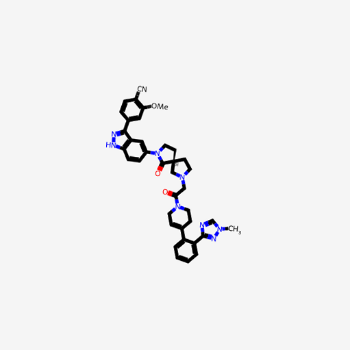 COc1cc(-c2n[nH]c3ccc(N4CC[C@]5(CCN(CC(=O)N6CC=C(c7ccccc7-c7ncn(C)n7)CC6)C5)C4=O)cc23)ccc1C#N